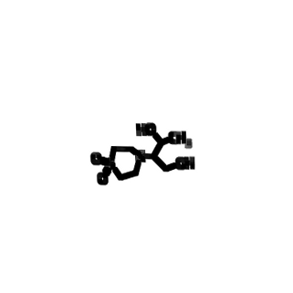 CC(O)C(CO)N1CCS(=O)(=O)CC1